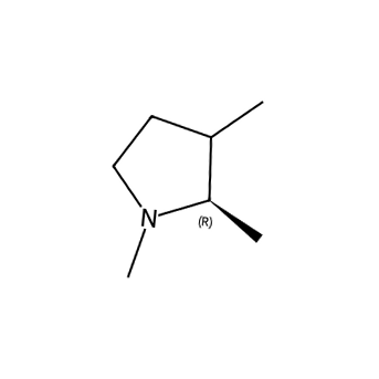 CC1CCN(C)[C@@H]1C